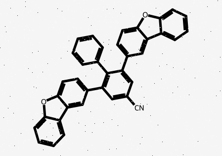 N#Cc1cc(-c2ccc3oc4ccccc4c3c2)c(-c2ccccc2)c(-c2ccc3oc4ccccc4c3c2)c1